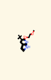 COCCOc1nc2[nH]ccc2cc1C(C)(C)C